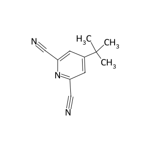 CC(C)(C)c1cc(C#N)nc(C#N)c1